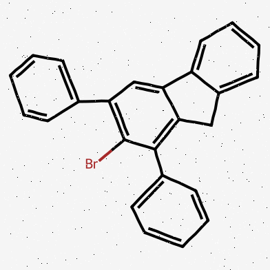 Brc1c(-c2ccccc2)cc2c(c1-c1ccccc1)Cc1ccccc1-2